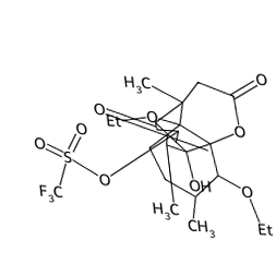 CCOC1C(C)CCC2(OCC)C3(C)CC(=O)OC12C1(O)C(C)=C(OS(=O)(=O)C(F)(F)F)C(=O)C31